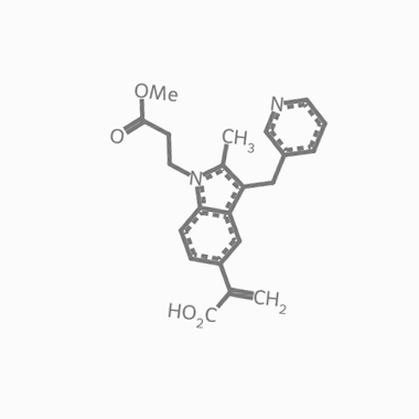 C=C(C(=O)O)c1ccc2c(c1)c(Cc1cccnc1)c(C)n2CCC(=O)OC